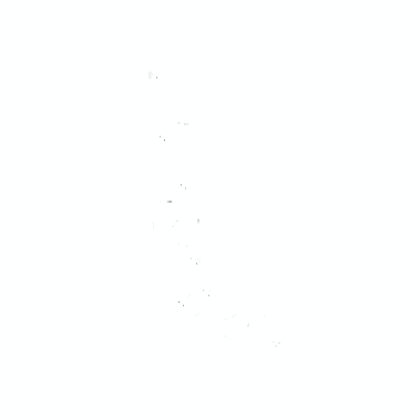 COc1ccc(-c2cnc(C(O)Nc3ccc(C(=O)N[C@H]4C[C@@H](NC(=O)[C@H]5CCNC[C@H]5O)C4)c(Cl)c3)n2C)c(F)c1F